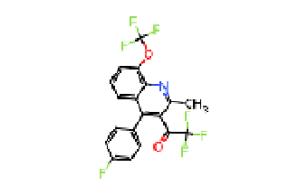 Cc1nc2c(OC(F)(F)F)cccc2c(-c2ccc(F)cc2)c1C(=O)C(F)(F)F